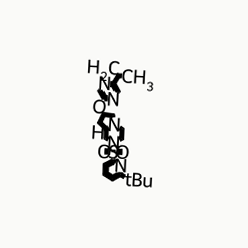 C=C(C)c1cnc(O[C@@H]2C[C@H]3CN(S(=O)(=O)c4cccc(C(C)(C)C)n4)CCN3C2)cn1